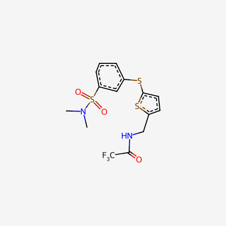 CN(C)S(=O)(=O)c1cccc(Sc2ccc(CNC(=O)C(F)(F)F)s2)c1